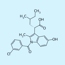 CCC(C)C[C@H](C(=O)O)c1c(C)n(C(=O)c2cccc(Cl)c2)c2ccc(O)cc12